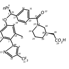 CCC[C@H](Oc1cc(C)c(-n2cc(C(F)(F)F)cn2)c(C)c1)c1ccc(C(=O)N2CCC[C@H](CC(=O)O)C2)cc1